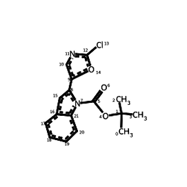 CC(C)(C)OC(=O)n1c(-c2cnc(Cl)o2)cc2ccccc21